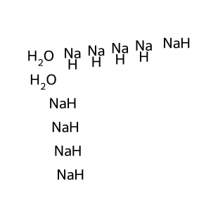 O.O.[NaH].[NaH].[NaH].[NaH].[NaH].[NaH].[NaH].[NaH].[NaH]